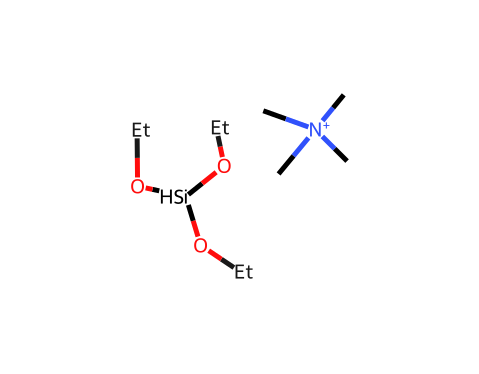 CCO[SiH](OCC)OCC.C[N+](C)(C)C